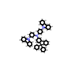 c1ccc(C2(c3ccccc3)c3ccccc3-c3cc(N(c4ccc(-n5c6ccccc6c6ccccc65)cc4)c4cccc(-n5c6ccccc6c6ccccc65)c4)ccc32)cc1